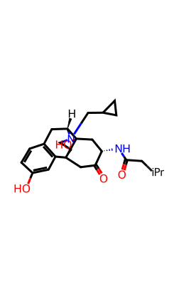 CC(C)CC(=O)N[C@H]1C[C@@]2(O)[C@H]3Cc4ccc(O)cc4[C@@]2(CCN3CC2CC2)CC1=O